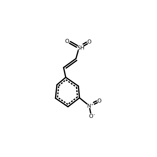 O=[N+]([O-])c1cccc(/C=C/[SH](=O)=O)c1